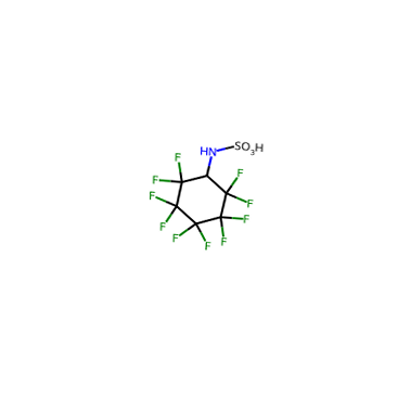 O=S(=O)(O)NC1C(F)(F)C(F)(F)C(F)(F)C(F)(F)C1(F)F